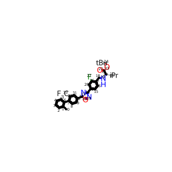 Cc1ccccc1-c1ccc(-c2nc(-c3ccc(CN[C@H](C(=O)OC(C)(C)C)C(C)C)c(F)c3)no2)cc1C(F)(F)F